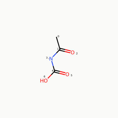 CC(=O)[N]C(=O)O